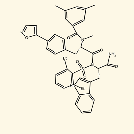 CCc1cccc(CC)c1S(=O)(=O)N(C(=O)[C@H](Cc1ccc(-c2ccno2)cc1)N(C)C(=O)c1cc(C)cc(C)c1)[C@@H](Cc1c[nH]c2ccccc12)C(N)=O